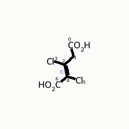 O=C(O)C/C(Cl)=C(\Cl)C(=O)O